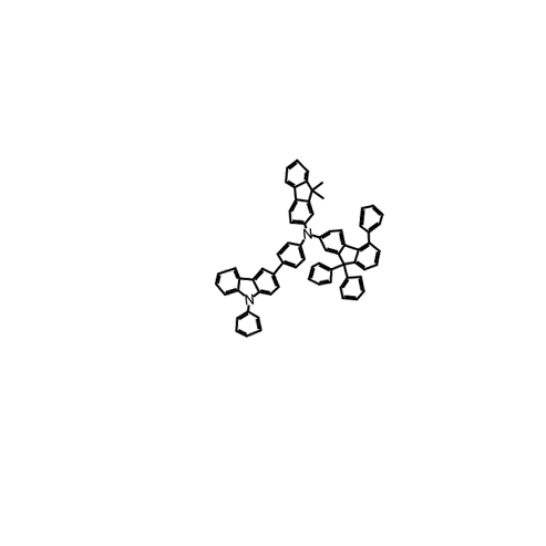 CC1(C)c2ccccc2-c2ccc(N(c3ccc(-c4ccc5c(c4)c4ccccc4n5-c4ccccc4)cc3)c3ccc4c(c3)C(c3ccccc3)(c3ccccc3)c3cccc(-c5ccccc5)c3-4)cc21